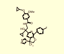 COc1cc(C(=O)NCC(O)(c2cc3c(c(-c4ccc(F)cc4)n2)OC[C@@]3(n2cnnc2)C(F)(F)F)C2CC2)ccc1OC1CC1